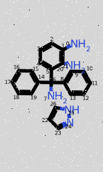 Nc1cccc(C(N)(c2ccccc2)c2ccccc2)c1N.c1cn[nH]c1